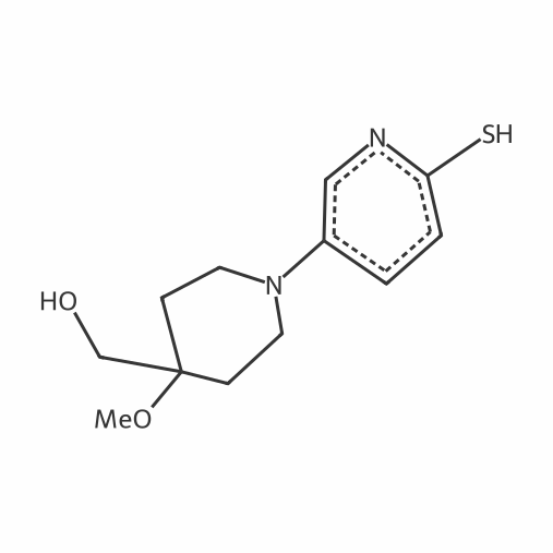 COC1(CO)CCN(c2ccc(S)nc2)CC1